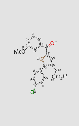 COc1cccc(C(=O)c2cc(CC(=O)O)c(-c3ccc(Cl)cc3)s2)c1